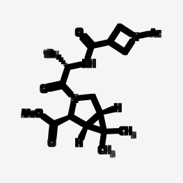 COC(=O)[C@@H]1[C@@H]2[C@H](CN1C(=O)[C@@H](NC(=O)C1CN(C(C)=O)C1)C(C)(C)C)C2(C)C